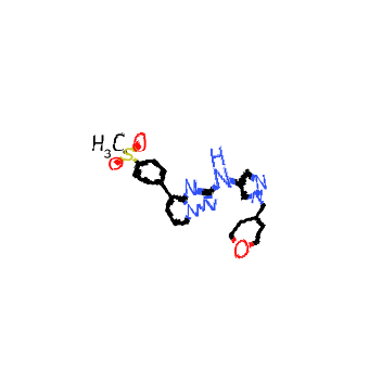 CS(=O)(=O)c1ccc(-c2cccn3nc(Nc4cnn(CC5CCOCC5)c4)nc23)cc1